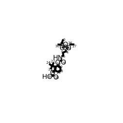 CCO[Si](CCCNC(=O)Oc1cccc(OC(=O)O)c1C(C)(C)C)(OCC)OCC